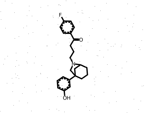 O=C(CCCN1CC2(c3cccc(O)c3)CCCC1C2)c1ccc(F)cc1